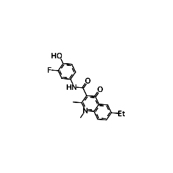 CCc1ccc2c(c1)c(=O)c(C(=O)Nc1ccc(O)c(F)c1)c(C)n2C